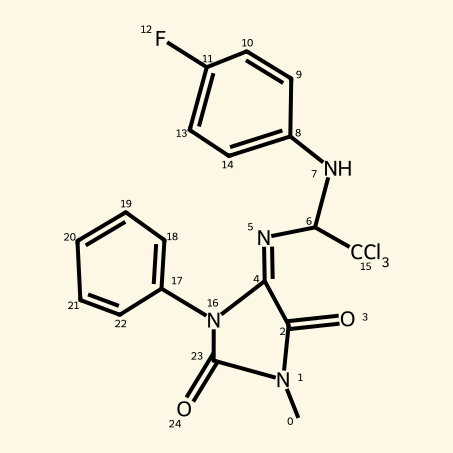 CN1C(=O)C(=NC(Nc2ccc(F)cc2)C(Cl)(Cl)Cl)N(c2ccccc2)C1=O